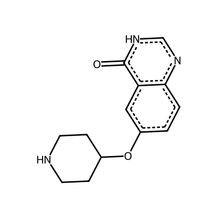 O=c1[nH]cnc2ccc(OC3CCNCC3)cc12